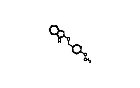 COc1ccc(COc2cc3ccccc3[nH]2)cc1